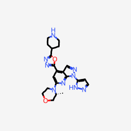 C[C@@H]1COCCN1c1cc(-c2nnc(C3CCNCC3)o2)c2cnn(-c3ccn[nH]3)c2n1